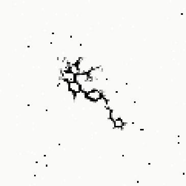 CC(C)n1c(=O)n(C)c2nnc3cc(F)c(-c4ccc(COCCN5CCCC5)nc4)cc3c21